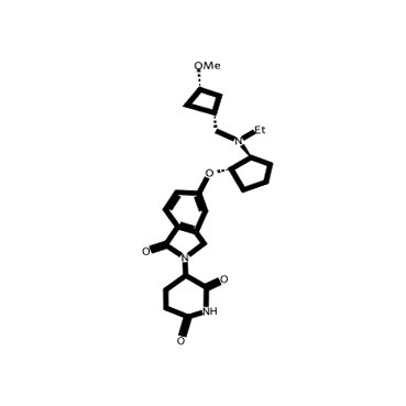 CCN(C[C@H]1C[C@@H](OC)C1)[C@H]1CCC[C@@H]1Oc1ccc2c(c1)CN(C1CCC(=O)NC1=O)C2=O